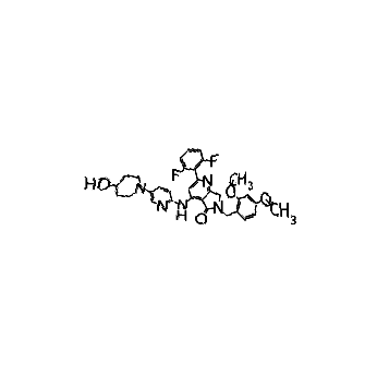 COc1ccc(CN2Cc3nc(-c4c(F)cccc4F)cc(Nc4ccc(N5CCC(O)CC5)cn4)c3C2=O)c(OC)c1